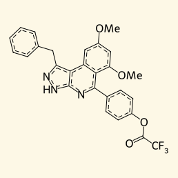 COc1cc(OC)c2c(-c3ccc(OC(=O)C(F)(F)F)cc3)nc3[nH]nc(Cc4ccccc4)c3c2c1